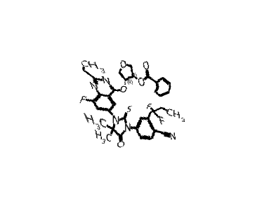 CCc1nc(O[C@@H]2COC[C@H]2OC(=O)c2ccccc2)c2cc(N3C(=S)N(c4ccc(C#N)c(C(F)(F)CC)c4)C(=O)C3(C)C)cc(F)c2n1